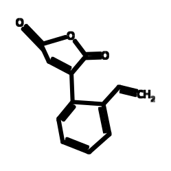 C=Cc1ccccc1C1=CC(=O)OC1=O